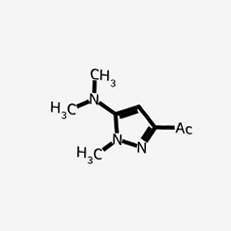 CC(=O)c1cc(N(C)C)n(C)n1